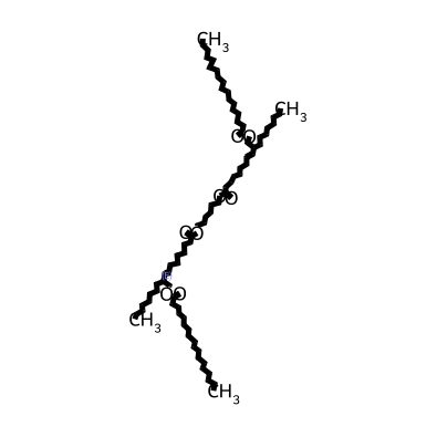 CCCCCCCCCCCCCCCCCC(=O)OCC(C=CCCCCCCC(=O)OCCCCCCOC(=O)CCCCCC/C=C/C(CCCCCCCC)COC(=O)CCCCCCCCCCCCCCCCC)CCCCCCCC